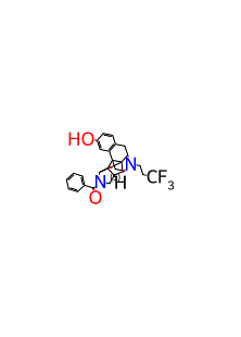 O=C(c1ccccc1)N1C[C@H]2CC34CCC1C2C31CCN(CCC(F)(F)F)C4Cc2ccc(O)cc21